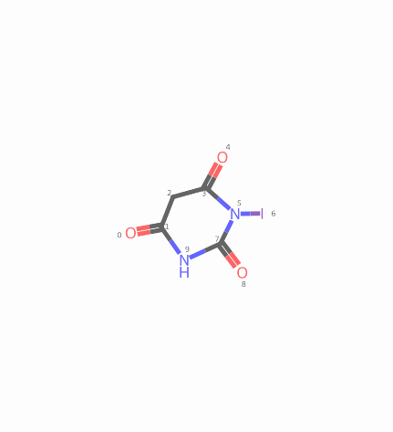 O=C1CC(=O)N(I)C(=O)N1